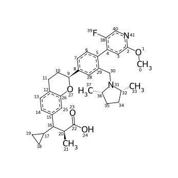 COc1cc(-c2ccc([C@@H]3CCc4ccc(C(C5CC5)[C@H](C)C(=O)O)cc4O3)cc2CN2[C@H](C)CC[C@@H]2C)c(F)cn1